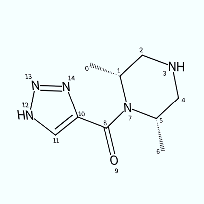 C[C@@H]1CNC[C@H](C)N1C(=O)c1c[nH]nn1